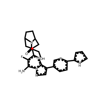 Nc1c(F)c(C2CC3CCC(C2)N3C(=O)CO)nc2c(-c3ccc(-c4ccc[nH]4)nc3)cnn12